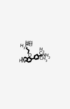 CCCCOc1c(-c2ccc(C(C)(C)N)cc2)ccc2[nH]ncc12.Cl.Cl